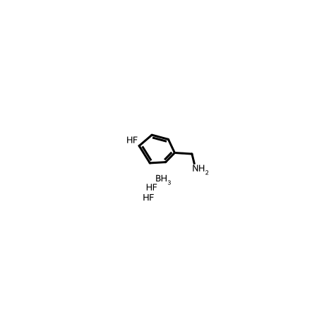 B.F.F.F.NCc1ccccc1